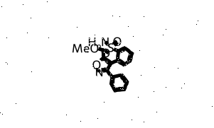 COCc1onc(-c2ccccc2)c1-c1ccccc1S(N)(=O)=O